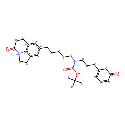 CC(C)(C)OC(=O)N(CCCCCc1cc2c3c(c1)CCN3C(=O)CC2)CCCC1=CC=CC(=O)C1